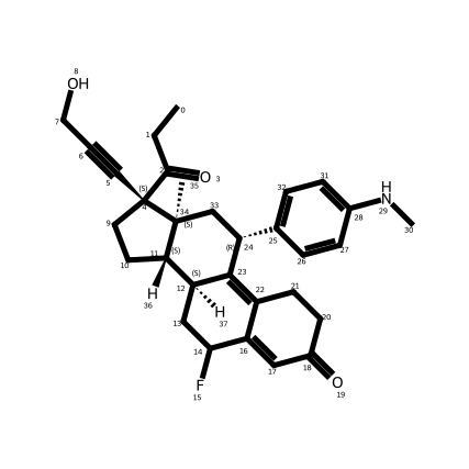 CCC(=O)[C@@]1(C#CCO)CC[C@H]2[C@@H]3CC(F)C4=CC(=O)CCC4=C3[C@@H](c3ccc(NC)cc3)C[C@@]21C